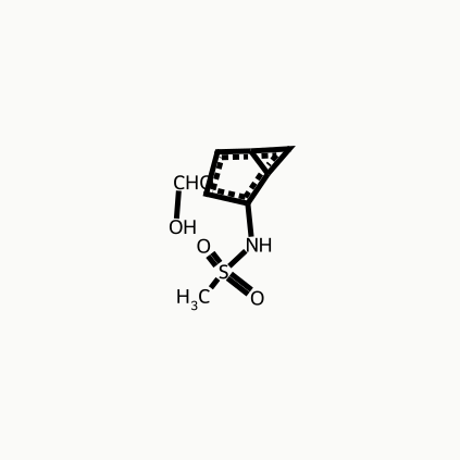 CS(=O)(=O)Nc1ccc2cc1-2.O=CO